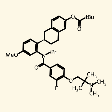 COc1ccc([C@@H]2CCc3cc(OC(=O)C(C)(C)C)ccc3C2)c(N(C(=O)c2ccc(OCC(C)(C)N(C)C)c(F)c2)C(C)C)c1